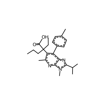 CCCC(CC)(C(=O)O)c1c(C)nc2c(nc(C(C)C)n2C)c1-c1ccc(C)cc1